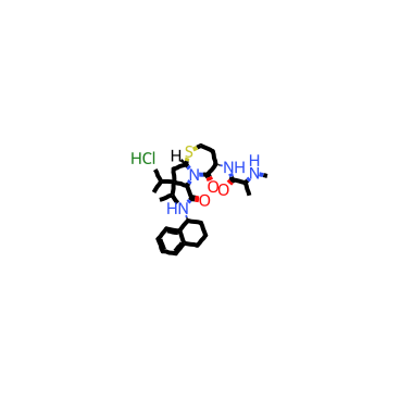 CNC(C)C(=O)N[C@H]1CCS[C@H]2CC(C(C)C)(C(C)C)C(C(=O)N[C@@H]3CCCc4ccccc43)N2C1=O.Cl